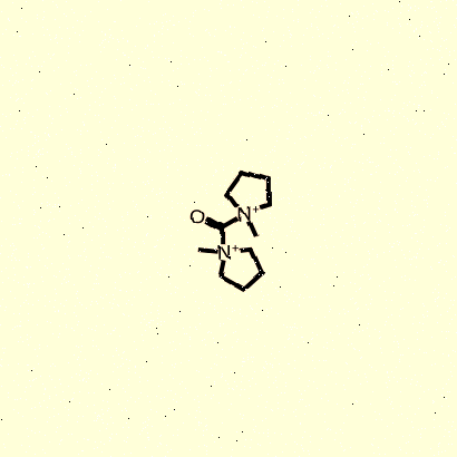 C[N+]1(C(=O)[N+]2(C)CCCC2)CCCC1